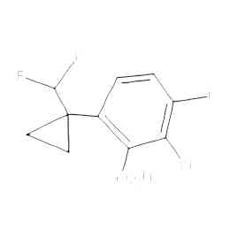 O=C(O)c1c(C2(C(F)F)CC2)ccc(F)c1Cl